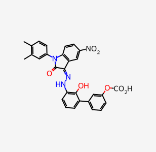 Cc1ccc(N2C(=O)C(=NNc3cccc(-c4cccc(OC(=O)O)c4)c3O)c3cc([N+](=O)[O-])ccc32)cc1C